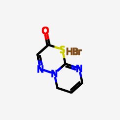 Br.O=C1C=NN2CC=CN=C2S1